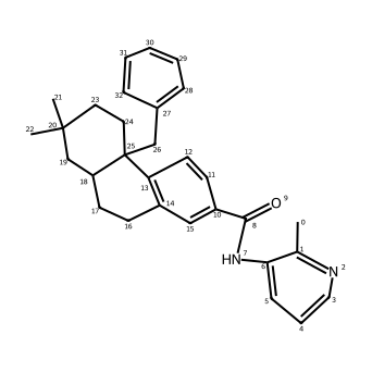 Cc1ncccc1NC(=O)c1ccc2c(c1)CCC1CC(C)(C)CCC21Cc1ccccc1